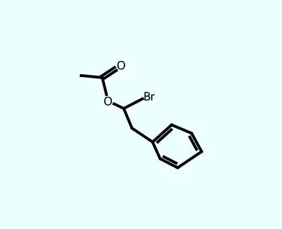 CC(=O)OC(Br)Cc1ccccc1